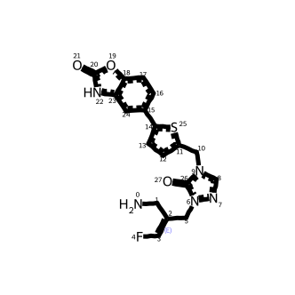 NC/C(=C\F)Cn1ncn(Cc2ccc(-c3ccc4oc(=O)[nH]c4c3)s2)c1=O